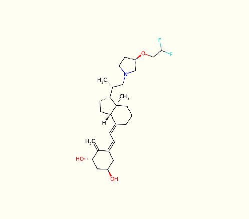 C=C1/C(=C\C=C2/CCC[C@]3(C)[C@@H]([C@H](C)CN4CC[C@@H](OCC(F)F)C4)CC[C@@H]23)C[C@@H](O)C[C@@H]1O